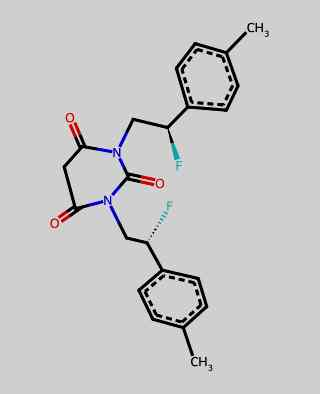 Cc1ccc([C@@H](F)CN2C(=O)CC(=O)N(C[C@H](F)c3ccc(C)cc3)C2=O)cc1